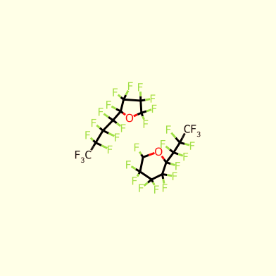 FC(F)(F)C(F)(F)C(F)(F)C(F)(F)C1(F)OC(F)(F)C(F)(F)C1(F)F.FC1OC(F)(C(F)(F)C(F)(F)C(F)(F)F)C(F)(F)C(F)(F)C1(F)F